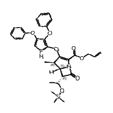 C=CCOC(=O)C1=C(Oc2[pH]cc(Oc3ccccc3)c2Oc2ccccc2)[C@H](C)[C@H]2[C@@H](C(C)O[Si](C)(C)C)C(=O)N12